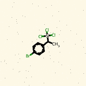 CC(c1ccc(Br)cc1)[Si](Cl)(Cl)Cl